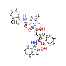 Cc1ccccc1CNC(=O)[C@@H]1C[C@H](Cl)CN1C(=O)[C@@H](O)C[C@@H](Cc1ccccc1)C(=O)N[C@H]1c2ccccc2C[C@H]1O